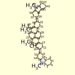 Cn1c2ccccc2c2cc(-c3ccc4c(c3)C(C)(C)c3ccc5c6c(ccc-4c36)-c3ccc(-c4ccc6c(c4)c4ccccc4n6C)cc3C5(C)C)ccc21